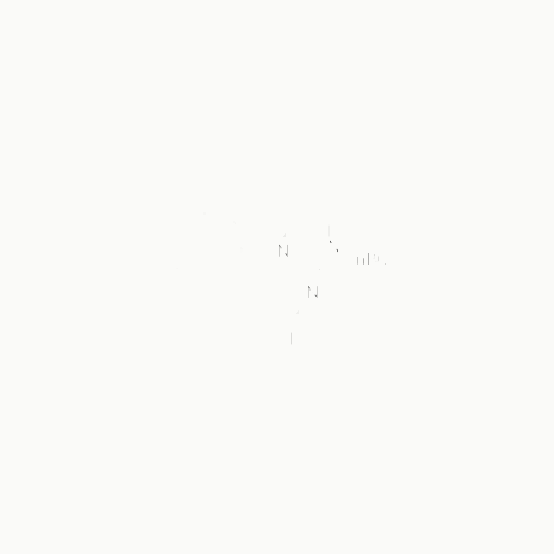 CCCCNc1nc(I)cc(-c2ccccc2)n1